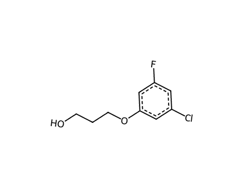 OCCCOc1cc(F)cc(Cl)c1